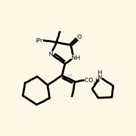 C/C(C(=O)O)=C(/C1=NC(C)(C(C)C)C(=O)N1)C1CCCCC1.C1CCNC1